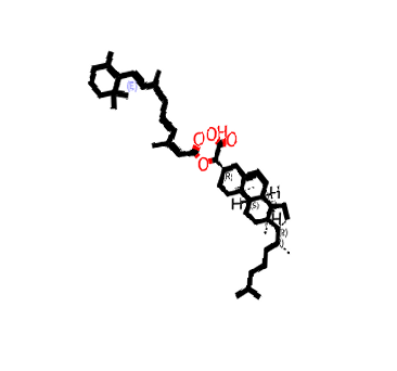 CC(C=CC=C(C)/C=C/C1=C(C)CCCC1(C)C)=CC(=O)OC(C(=O)O)[C@@H]1CC[C@@]2(C)C(=CC[C@H]3[C@@H]4CC[C@H]([C@H](C)CCCC(C)C)[C@@]4(C)CC[C@@H]32)C1